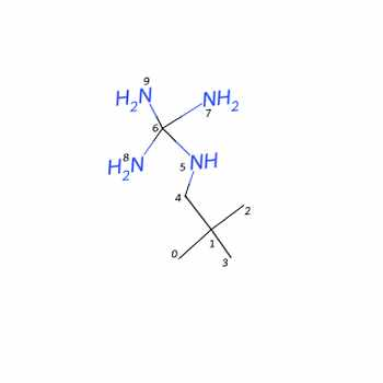 CC(C)(C)CNC(N)(N)N